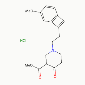 COC(=O)C1CN(CCC2=Cc3ccc(OC)cc32)CCC1=O.Cl